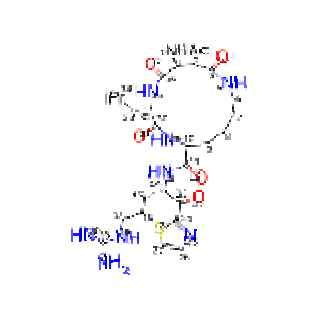 CC(=O)N[C@H]1CC(=O)NCCCC[C@@H](C(=O)N[C@@H](CCCNC(=N)N)C(=O)c2nccs2)NC(=O)[C@H](CC(C)C)NC1=O